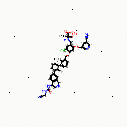 Cc1c(COc2cc(OCc3cncc(C#N)c3)c(CNC(C)(CO)C(=O)O)cc2Cl)cccc1-c1cccc(-c2ccc3c(c2)CNCC3NC(=O)NCC#N)c1C